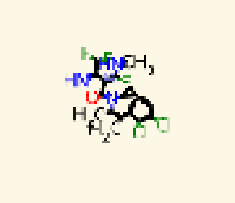 C=C(c1cccc(Cl)c1Cl)C(C)N(C(=O)/C(C(=N)C(F)F)=C(\F)NC)C1CC1